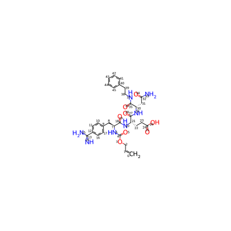 C=CCOC(=O)N[C@@H](Cc1ccc(C(=N)N)cc1)C(=O)N[C@@H](CCC(=O)O)C(=O)N[C@@H](CC(N)=O)C(=O)NCCc1ccccc1